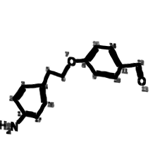 Nc1ccc(CCOc2ccc(C=O)cc2)cc1